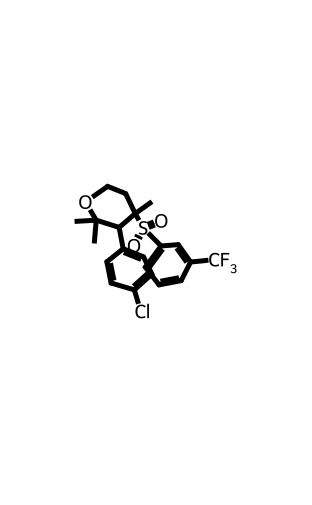 CC1(C)OCCC(C)(S(=O)(=O)c2cccc(C(F)(F)F)c2)C1c1ccc(Cl)cc1